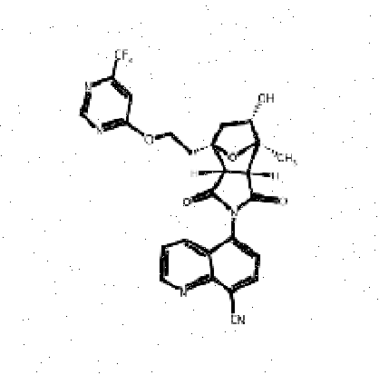 C[C@]12O[C@](CCOc3cc(C(F)(F)F)ncn3)(C[C@@H]1O)[C@H]1C(=O)N(c3ccc(C#N)c4ncccc34)C(=O)[C@H]12